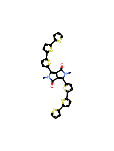 CN1C(=O)C2=C(c3ccc(-c4ccc(-c5cccs5)s4)s3)N(C)C(=O)C2=C1c1ccc(-c2ccc(-c3cccs3)s2)s1